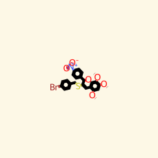 COc1cc(OC)c(OC)cc1/C=C(/SCc1ccc(Br)cc1)C(=O)c1ccc([N+](=O)[O-])cc1